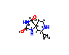 CC1CC2(CCN1)NC(=O)NC2=O